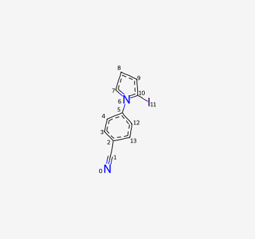 N#Cc1ccc(-n2cccc2I)cc1